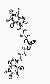 Cn1c(=O)c2c(ncn2CCCCO[PH](=O)OCCCCn2cnc3c2c(=O)n(C)c(=O)n3C)n(C)c1=O